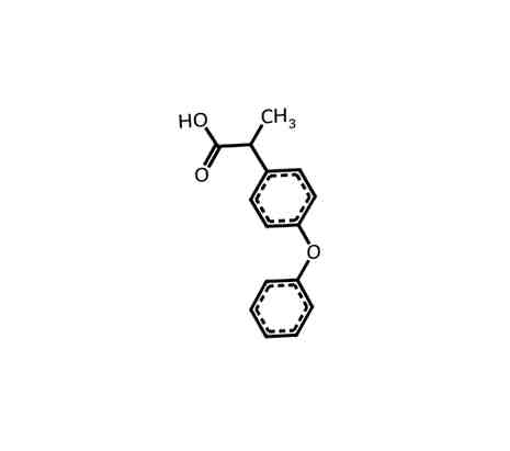 CC(C(=O)O)c1ccc(Oc2ccccc2)cc1